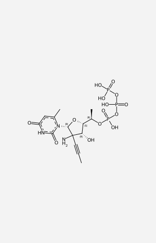 CC#CC1(N)[C@@H](O)[C@@H]([C@@H](C)OP(=O)(O)OP(=O)(O)OP(=O)(O)O)O[C@H]1n1c(C)cc(=O)[nH]c1=O